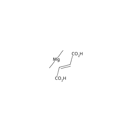 O=C(O)/C=C/C(=O)O.[CH3][Mg][CH3]